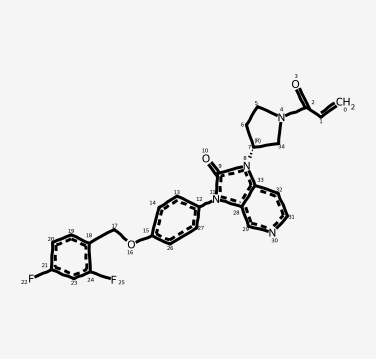 C=CC(=O)N1CC[C@@H](n2c(=O)n(-c3ccc(OCc4ccc(F)cc4F)cc3)c3cnccc32)C1